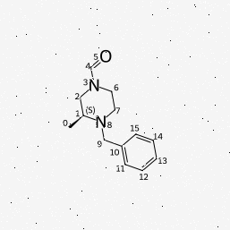 C[C@H]1CN(C=O)CCN1Cc1ccccc1